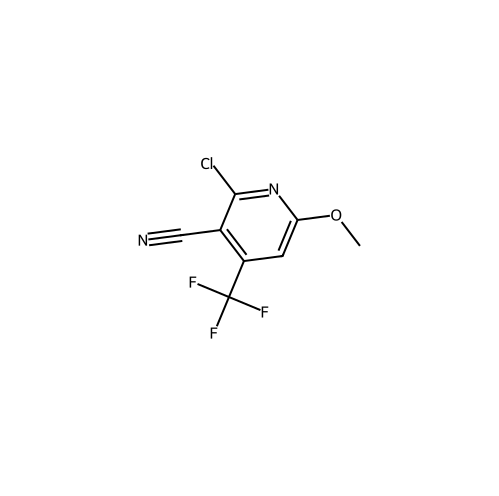 COc1cc(C(F)(F)F)c(C#N)c(Cl)n1